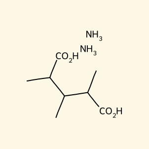 CC(C(=O)O)C(C)C(C)C(=O)O.N.N